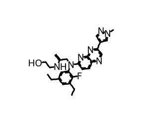 C=C(CN(c1ccc2ncc(-c3cnn(C)c3)nc2n1)c1cc(CC)cc(CC)c1F)NCCO